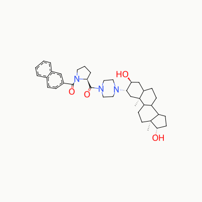 C[C@]12C[C@H](N3CCN(C(=O)[C@@H]4CCCN4C(=O)c4ccc5ccccc5c4)CC3)[C@@H](O)CC1CCC1C2CC[C@@]2(C)C1CC[C@@H]2O